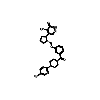 O=C(c1cccc(OC[C@@H]2CCCN2c2cn[nH]c(=O)c2C(F)(F)F)c1)N1CCN(c2ncc(C(F)(F)F)cn2)CC1